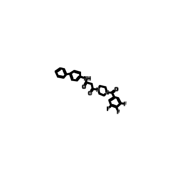 O=C(CC(=O)N1CCN(C(=O)c2cc(F)c(F)c(F)c2)CC1)Nc1ccc(-c2ccccc2)cc1